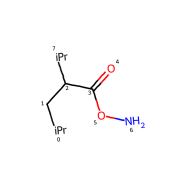 CC(C)CC(C(=O)ON)C(C)C